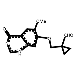 COc1cc2c(=O)nc[nH]c2cc1OCC1(C=O)CC1